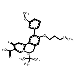 COCCCOc1cc2c(cc1-c1cccc(OC)c1)-c1cc(=O)c(C(=O)O)cn1[C@H](C(C)(C)C)C2